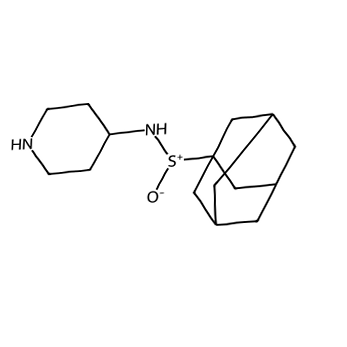 [O-][S+](NC1CCNCC1)C12CC3CC(CC(C3)C1)C2